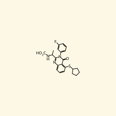 CC(NC(=O)O)c1nc2cccc(SC3CCCC3)c2c(=O)n1-c1cccc(F)c1